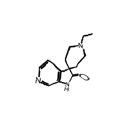 CCN1CCC2(CC1)C(=O)Nc1cnccc12